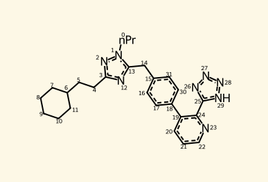 CCCn1nc(CCC2CCCCC2)nc1Cc1ccc(-c2cccnc2-c2nnn[nH]2)cc1